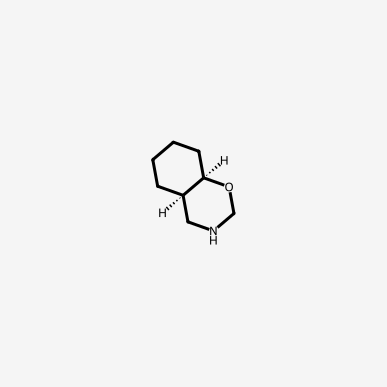 C1CC[C@H]2OCNC[C@H]2C1